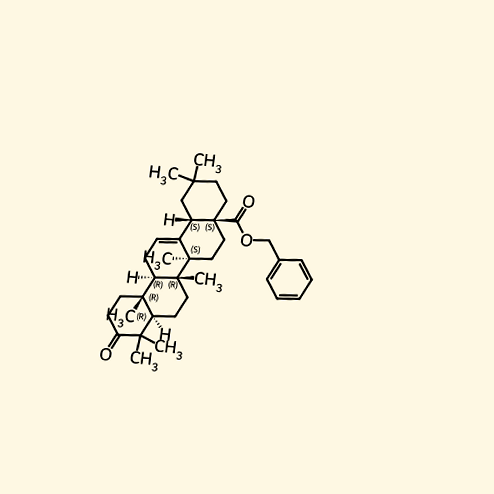 CC1(C)CC[C@]2(C(=O)OCc3ccccc3)CC[C@]3(C)C(=CC[C@@H]4[C@@]5(C)CCC(=O)C(C)(C)[C@@H]5CC[C@]43C)[C@@H]2C1